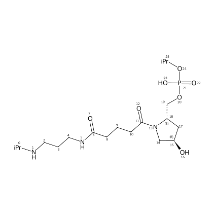 CC(C)NCCCNC(=O)CCCC(=O)N1C[C@H](O)C[C@H]1COP(=O)(O)OC(C)C